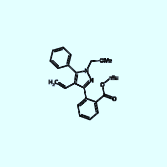 C=Cc1c(-c2ccccc2C(=O)OCCCC)nn(COC)c1-c1ccccc1